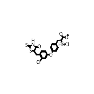 COC(=O)[C@H](Cc1ccc(Oc2ccc(CC3SC(=S)NC3=O)c(Cl)c2)cc1)NCl